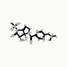 CC(C)[C@H]1C(=O)N(S(C)(=O)=O)C2=CCN(C(=O)c3cnc(CN(C)C)cn3)[C@@H]21